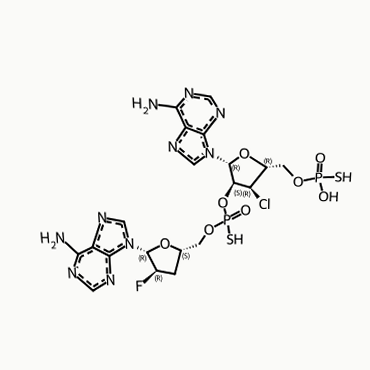 Nc1ncnc2c1ncn2[C@@H]1O[C@H](COP(=O)(O)S)[C@@H](Cl)[C@H]1OP(=O)(S)OC[C@@H]1C[C@@H](F)[C@H](n2cnc3c(N)ncnc32)O1